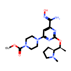 C[C@H](Oc1nc(/C(N)=N/O)cc(N2CCN(C(=O)OC(C)(C)C)CC2)n1)[C@@H]1CCCN1C